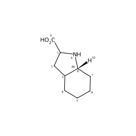 O=C(O)C1CC2CCCC[C@H]2N1